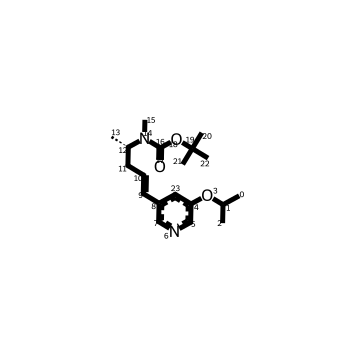 CC(C)Oc1cncc(C=CC[C@H](C)N(C)C(=O)OC(C)(C)C)c1